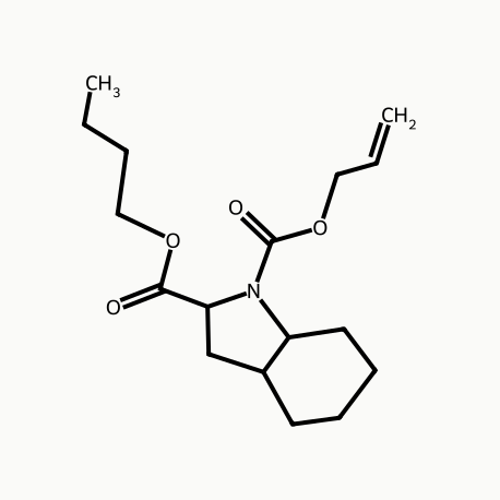 C=CCOC(=O)N1C(C(=O)OCCCC)CC2CCCCC21